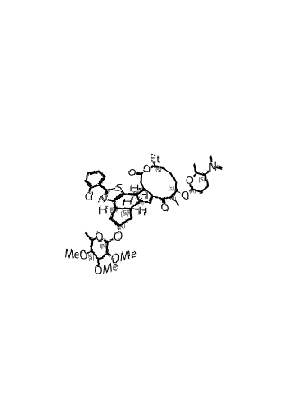 CC[C@H]1CCC[C@H](O[C@H]2CC[C@H](N(C)C)C(C)O2)[C@@H](C)C(=O)C2=C[C@H]3[C@@H]4C[C@H](O[C@@H]5OC(C)[C@H](OC)C(OC)C5OC)C[C@H]4c4nc(-c5ccccc5Cl)sc4[C@H]3[C@@H]2CC(=O)O1